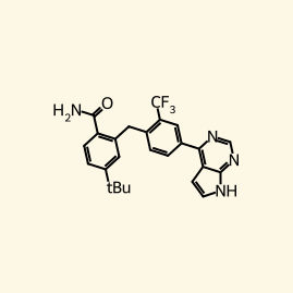 CC(C)(C)c1ccc(C(N)=O)c(Cc2ccc(-c3ncnc4[nH]ccc34)cc2C(F)(F)F)c1